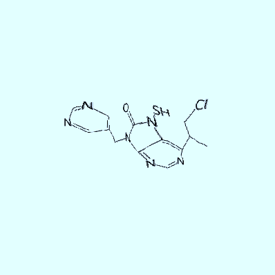 CC(CCl)c1ncnc2c1n(S)c(=O)n2Cc1cncnc1